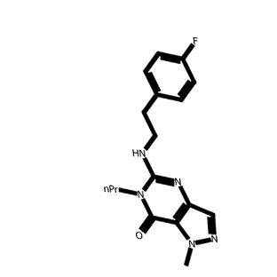 CCCn1c(NCCc2ccc(F)cc2)nc2cnn(C)c2c1=O